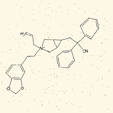 C=CC[N+]1(CCc2ccc3c(c2)OCO3)CC2C(CC(C#N)(c3ccccc3)c3ccccc3)C2C1